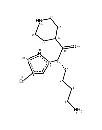 CCc1cn([C@@H](CCCCN)C(=O)C2CCNCC2)nn1